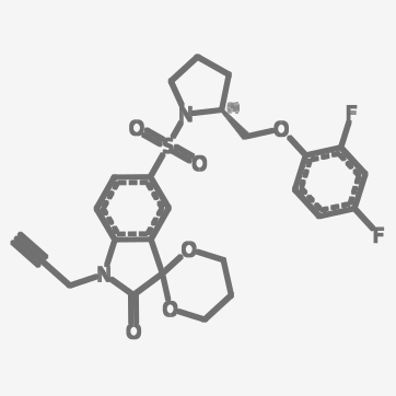 C#CCN1C(=O)C2(OCCCO2)c2cc(S(=O)(=O)N3CCC[C@H]3COc3ccc(F)cc3F)ccc21